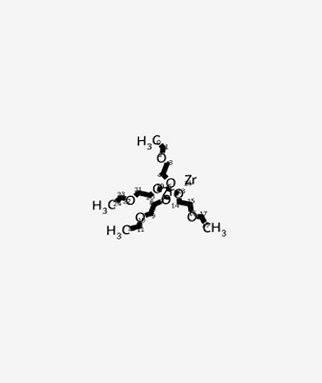 CCOCC[O][Zr]([O]CCOCC)([O]CCOCC)[O]CCOCC.[Zr]